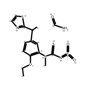 CCOc1ccc(C(C)c2nccs2)cc1N(C)C(=S)N=S(=O)=O.NC=O